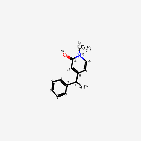 CCCC(c1ccccc1)c1ccn(C(=O)O)c(=O)c1